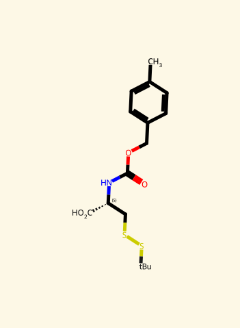 Cc1ccc(COC(=O)N[C@H](CSSC(C)(C)C)C(=O)O)cc1